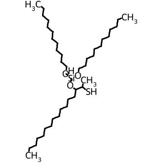 CCCCCCCCCCCCCC(O[SiH](OCCCCCCCCCCCC)OCCCCCCCCCCCC)C(C)S